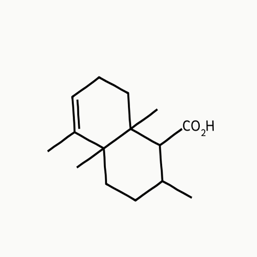 CC1=CCCC2(C)C(C(=O)O)C(C)CCC12C